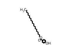 CCCCCCCCCCCCCCCCCCCCCOC(=O)c1ccc(O)cc1